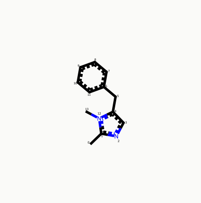 Cc1ncc(Cc2ccccc2)n1C